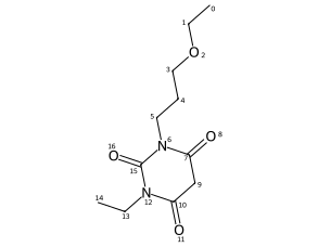 CCOCCCN1C(=O)CC(=O)N(CC)C1=O